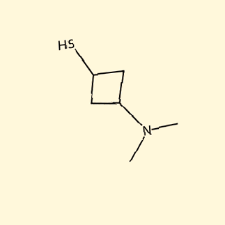 CN(C)C1CC(S)C1